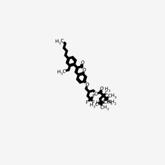 CCCCCc1ccc(-c2cc3ccc(OCC(COC(=O)C(C)(CC(C)(C)C)C(C)(C)N)CC(F)(F)F)cc3oc2=O)c(CC)c1